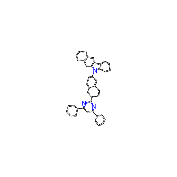 c1ccc(-c2cc(-c3ccccc3)nc(-c3ccc4cc(-n5c6ccccc6c6cc7ccccc7cc65)ccc4c3)n2)cc1